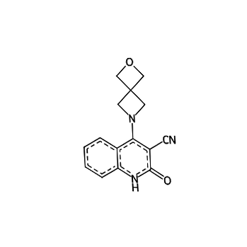 N#Cc1c(N2CC3(COC3)C2)c2ccccc2[nH]c1=O